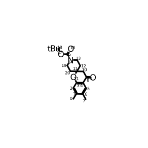 Cc1cc2c(cc1C)C(=O)CC1(CCN(C(=O)OC(C)(C)C)CC1)O2